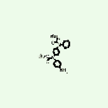 CC(C)(C)OC(=O)N(c1ccccc1)c1ccc(N(C(=O)OC(C)(C)C)c2ccc(N)cc2)cc1